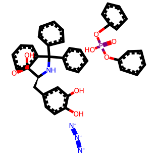 O=C(O)[C@H](Cc1ccc(O)c(O)c1)NC(c1ccccc1)(c1ccccc1)c1ccccc1.O=P(O)(Oc1ccccc1)Oc1ccccc1.[N-]=[N+]=[N-]